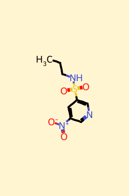 CCCNS(=O)(=O)c1cncc([N+](=O)[O-])c1